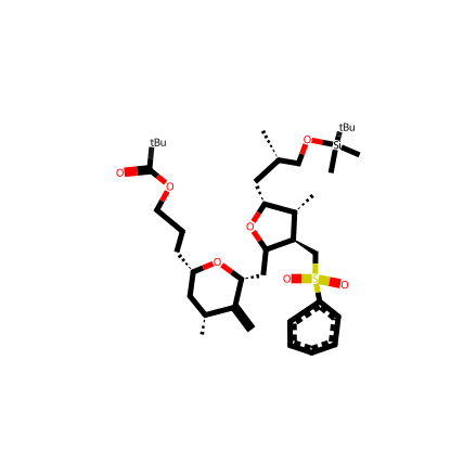 C=C1[C@H](C)C[C@H](CCCOC(=O)C(C)(C)C)O[C@@H]1CC1O[C@H](C[C@H](C)CO[Si](C)(C)C(C)(C)C)[C@H](C)[C@H]1CS(=O)(=O)c1ccccc1